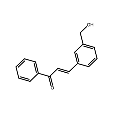 O=C(C=Cc1cccc(CO)c1)c1ccccc1